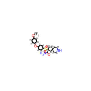 NC(=O)C1(S(=O)(=O)c2ccc(Oc3ccc(OC(F)(F)F)cc3)cc2)CCC2(CCNCC2)C1